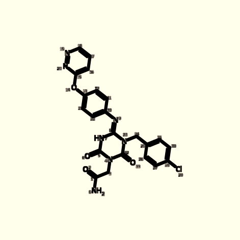 NC(=O)Cn1c(=O)[nH]/c(=N\c2ccc(Oc3cccnn3)cc2)n(Cc2ccc(Cl)cc2)c1=O